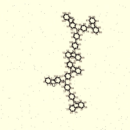 c1ccc2c(c1)oc1cc(N(c3ccc(-c4ccc(-n5c6ccccc6c6ccccc65)cc4)cc3)c3ccc(-n4c5ccccc5c5cc(-c6cccc7c6c6ccccc6n7-c6ccc(-c7ccc(N(c8ccc(-n9c%10ccccc%10c%10ccccc%109)cc8)c8ccc9c(c8)sc8ccccc89)cc7)cc6)ccc54)cc3)ccc12